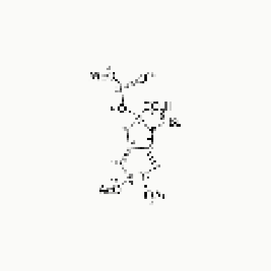 CCC(C)N[C@@](Cc1ccc(OC(C)=O)c(OC(C)=O)c1)(OC(=O)OC)C(=O)O